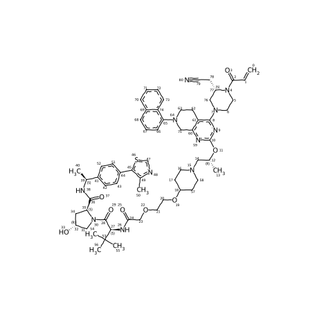 C=CC(=O)N1CCN(c2nc(O[C@H](C)CN3CCC(OCCOCC(=O)N[C@H](C(=O)N4C[C@H](O)C[C@H]4C(=O)N[C@@H](C)c4ccc(-c5scnc5C)cc4)C(C)(C)C)CC3)nc3c2CCN(c2cccc4ccccc24)C3)C[C@@H]1CC#N